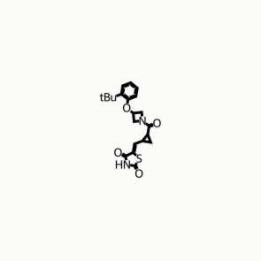 CC(C)(C)c1ccccc1OC1CN(C(=O)C2CC2/C=C2\SC(=O)NC2=O)C1